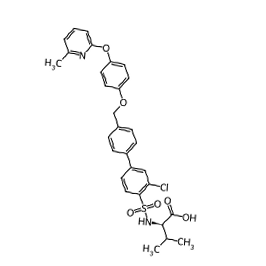 Cc1cccc(Oc2ccc(OCc3ccc(-c4ccc(S(=O)(=O)N[C@@H](C(=O)O)C(C)C)c(Cl)c4)cc3)cc2)n1